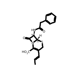 CC=CC1=C(C(=O)O)N2C(=O)[C@@H](NC(=O)Cc3ccccc3)[C@@H]2SC1